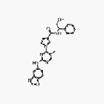 Cc1cnc(Nc2ccc3ocnc3c2)nc1-n1ccc(C(=O)NC(CO)c2ccccc2)c1